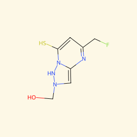 OCN1C=C2N=C(CF)C=C(S)N2N1